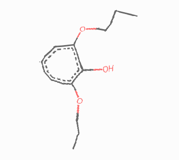 CCCOc1c[c]cc(OCCC)c1O